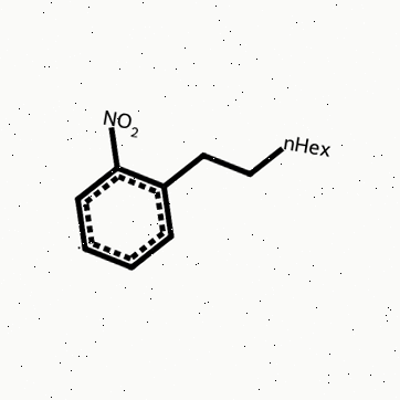 CCCCCCCCc1cc[c]cc1[N+](=O)[O-]